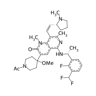 COC1(c2cc3c(N[C@H](C)c4cccc(C(F)F)c4F)nc(C)c(/C=C\[C@H]4CCCN4C)c3n(C)c2=O)CCN(C(C)=O)CC1